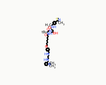 Cc1ncsc1-c1ccc([C@H](C)NC(=O)[C@@H]2C[C@@H](O)CN2C(=O)[C@@H](NC(=O)CCCCCCCOc2ccc(CNCCCNCc3ccccc3N(C)C)cc2)C(C)(C)C)cc1